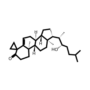 CC(C)CC[C@H](O)[C@@H](C)[C@H]1CC[C@H]2[C@@H]3CC=C4C5(CC5)C(=O)CC[C@]4(C)[C@H]3CC[C@]12C